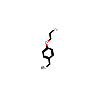 CC(C)CCOc1ccc(CC(C)(C)C)cc1